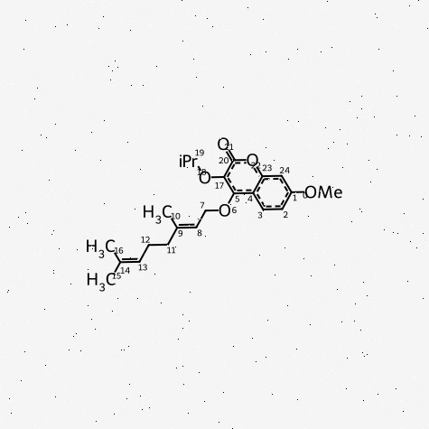 COc1ccc2c(OC/C=C(\C)CCC=C(C)C)c(OC(C)C)c(=O)oc2c1